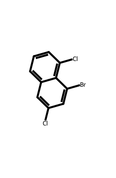 Clc1cc(Br)c2c(Cl)cccc2c1